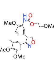 COCCOC(=O)Nc1cc(-c2conc2-c2cc(C)c(OC)c(OC)c2)ccc1OC